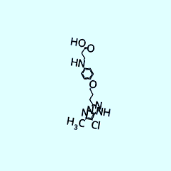 Cc1nn2c(CCCOc3ccc(NCCC(=O)O)cc3)n[nH]c2c1Cl